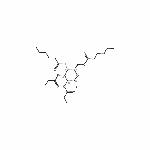 CCCCCC(=O)OC[C@H]1O[C@H](O)[C@@H](OC(=O)CC)[C@@H](OC(=O)CC)[C@@H]1OC(=O)CCCCC